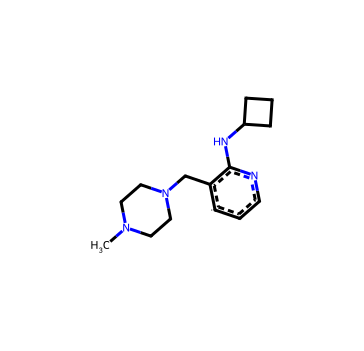 CN1CCN(Cc2[c]ccnc2NC2CCC2)CC1